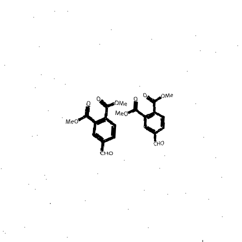 COC(=O)c1ccc(C=O)cc1C(=O)OC.COC(=O)c1ccc(C=O)cc1C(=O)OC